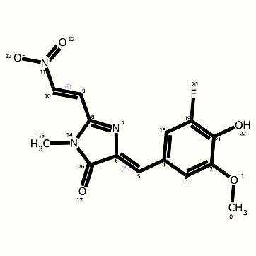 COc1cc(/C=C2N=C(/C=C/[N+](=O)[O-])N(C)C\2=O)cc(F)c1O